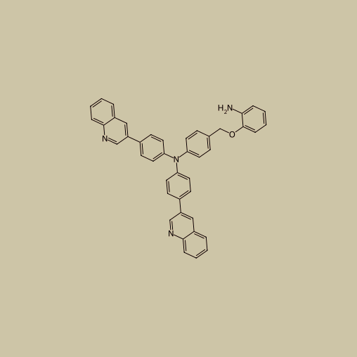 Nc1ccccc1OCc1ccc(N(c2ccc(-c3cnc4ccccc4c3)cc2)c2ccc(-c3cnc4ccccc4c3)cc2)cc1